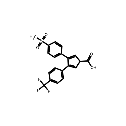 CS(=O)(=O)c1ccc(C2=CC(C(=O)O)C=C2c2ccc(C(F)(F)F)cc2)cc1